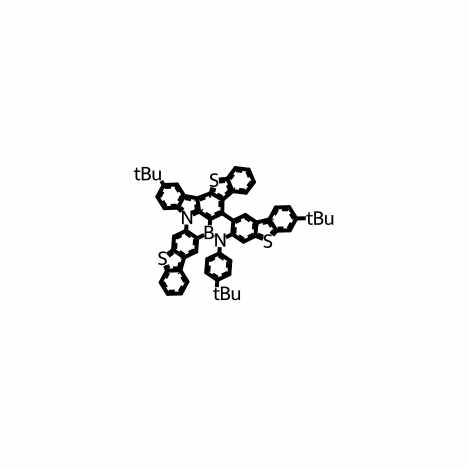 CC(C)(C)c1ccc(N2B3c4cc5c(cc4-n4c6ccc(C(C)(C)C)cc6c6c7sc8ccccc8c7c(c3c64)-c3cc4c(cc32)sc2cc(C(C)(C)C)ccc24)sc2ccccc25)cc1